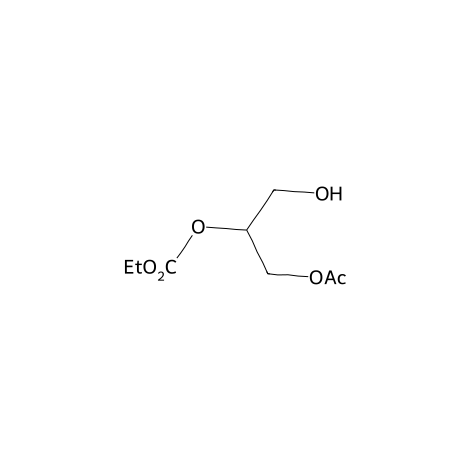 CCOC(=O)OC(CO)COC(C)=O